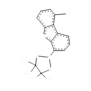 CC1(C)OB(c2cccc3c2oc2cccc(Cl)c23)OC1(C)C